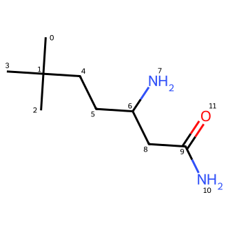 CC(C)(C)CCC(N)CC(N)=O